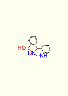 O=C(O)c1ccccc1C1NCNC2=CCCCC21